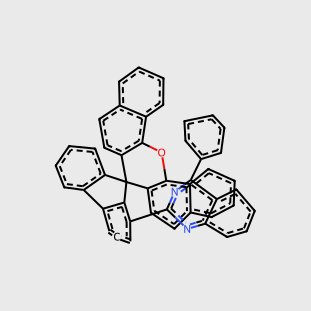 c1ccc(-c2nc(-c3cccc4c3C3(c5ccccc5-4)c4ccc5ccccc5c4Oc4c3ccc3ccccc43)nc3ccccc23)cc1